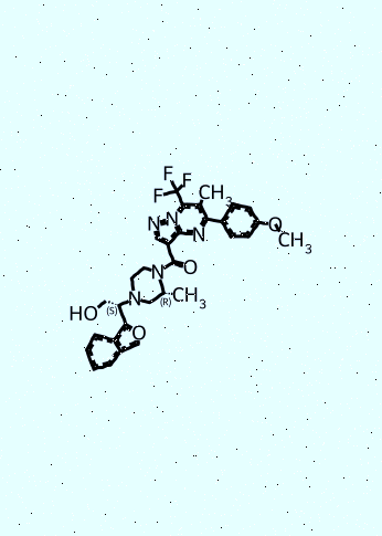 COc1ccc(-c2nc3c(C(=O)N4CCN([C@@H](CO)c5occ6ccccc56)C[C@H]4C)cnn3c(C(F)(F)F)c2C)cc1